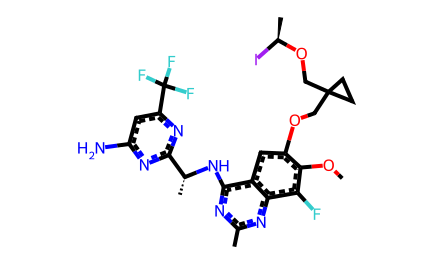 COc1c(OCC2(CO[C@H](C)I)CC2)cc2c(N[C@H](C)c3nc(N)cc(C(F)(F)F)n3)nc(C)nc2c1F